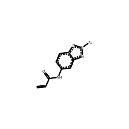 C=CC(=O)Nc1ccc2nn(C(C)=O)nc2c1